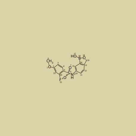 COc1ccc(S(=O)(=O)Nc2ccc3c(c2)B(O)OC3)c(F)c1